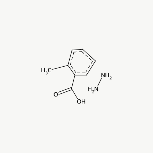 Cc1ccccc1C(=O)O.NN